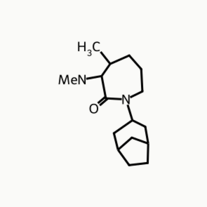 CNC1C(=O)N(C2CC3CCC(C3)C2)CCCC1C